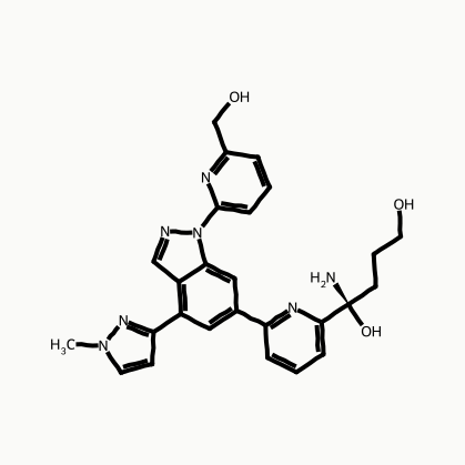 Cn1ccc(-c2cc(-c3cccc([C@@](N)(O)CCCO)n3)cc3c2cnn3-c2cccc(CO)n2)n1